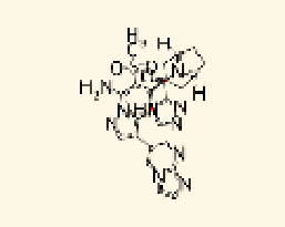 CS(=O)(=O)c1c([C@H]2C[C@H]3CC[C@@H](C2)N3C(=O)c2nnc[nH]2)nc2c(-c3cnc4nccn4c3)cnn2c1N